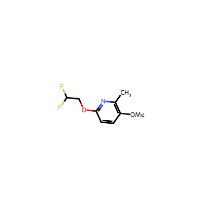 COc1ccc(OCC(F)F)nc1C